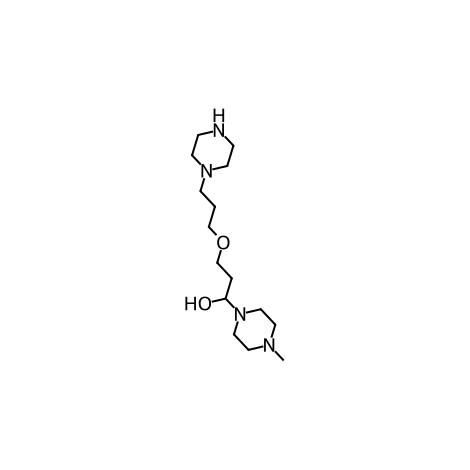 CN1CCN(C(O)CCOCCCN2CCNCC2)CC1